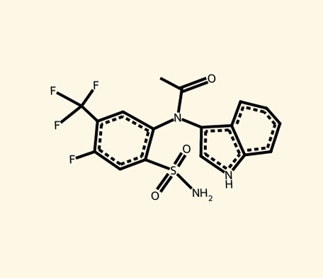 CC(=O)N(c1cc(C(F)(F)F)c(F)cc1S(N)(=O)=O)c1c[nH]c2ccccc12